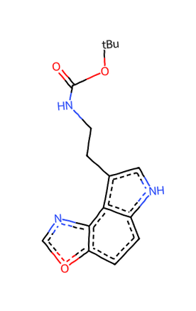 CC(C)(C)OC(=O)NCCc1c[nH]c2ccc3ocnc3c12